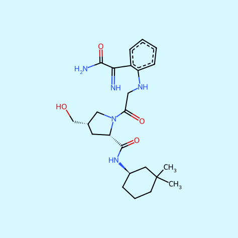 CC1(C)CCC[C@@H](NC(=O)[C@@H]2C[C@H](CO)CN2C(=O)CNc2ccccc2C(=N)C(N)=O)C1